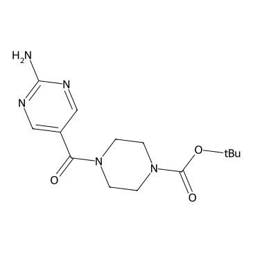 CC(C)(C)OC(=O)N1CCN(C(=O)c2cnc(N)nc2)CC1